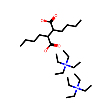 CCCCC(C(=O)[O-])C(CCCC)C(=O)[O-].CC[N+](CC)(CC)CC.CC[N+](CC)(CC)CC